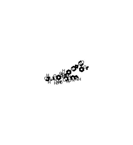 CC(C)Oc1ccccc1[C@@H]1COCCN1C1CC2(CCN(c3ccc(C(=O)NS(=O)(=O)c4cc5c(c([N+](=O)[O-])c4)N[C@H](CN4C[C@@H]6C[C@H]4CO6)CO5)c(N4c5cc6cc[nH]c6nc5O[C@H]5COCC[C@@H]54)c3)CC2)C1